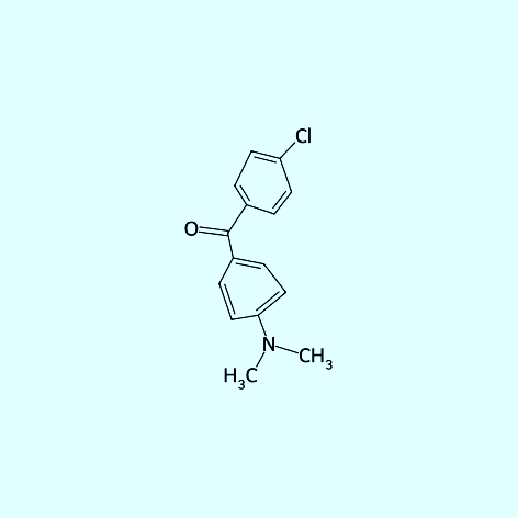 CN(C)c1ccc(C(=O)c2ccc(Cl)cc2)cc1